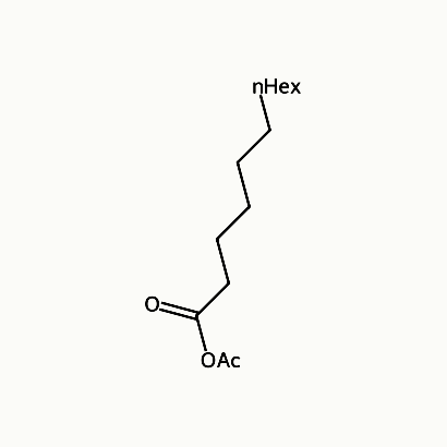 CCCCCCCCCCCC(=O)OC(C)=O